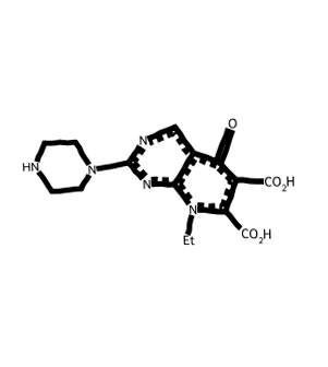 CCn1c(C(=O)O)c(C(=O)O)c(=O)c2cnc(N3CCNCC3)nc21